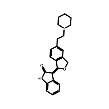 O=C1Nc2ccccc2C1=C1OCc2cc(CCN3CCCCC3)ccc21